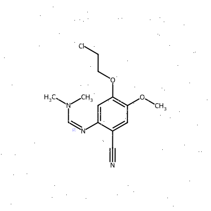 COc1cc(C#N)c(/N=C\N(C)C)cc1OCCCl